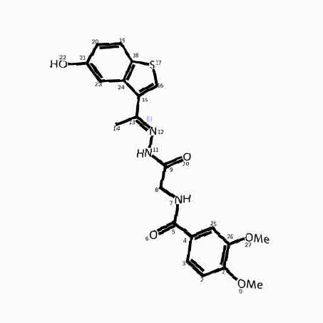 COc1ccc(C(=O)NCC(=O)N/N=C(\C)c2csc3ccc(O)cc23)cc1OC